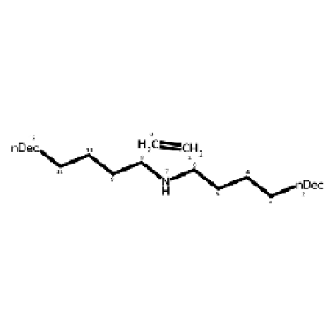 C=C.CCCCCCCCCCCCCCNCCCCCCCCCCCCCC